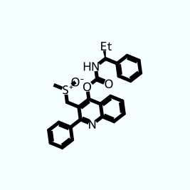 CC[C@H](NC(=O)Oc1c(C[S+](C)[O-])c(-c2ccccc2)nc2ccccc12)c1ccccc1